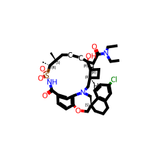 CCN(CC)C(=O)C[C@]1(O)CCC[C@H](C)[C@@H](C)S(=O)(=O)NC(=O)c2ccc3c(c2)N(C[C@@H]2CC[C@H]21)C[C@@]1(CCCc2cc(Cl)ccc21)CO3